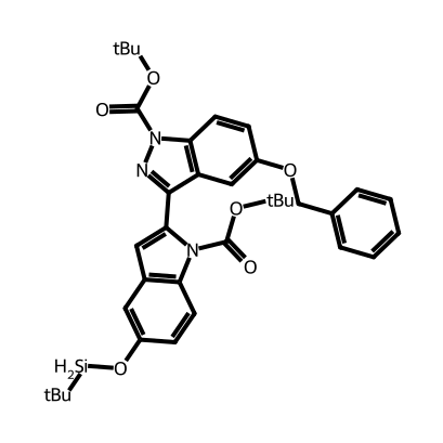 CC(C)(C)OC(=O)n1nc(-c2cc3cc(O[SiH2]C(C)(C)C)ccc3n2C(=O)OC(C)(C)C)c2cc(OCc3ccccc3)ccc21